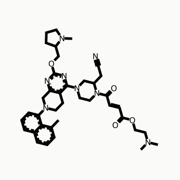 Cc1cccc2cccc(N3CCc4c(nc(OCC5CCCN5C)nc4N4CCN(C(=O)/C=C/C(=O)OCCN(C)C)C(CC#N)C4)C3)c12